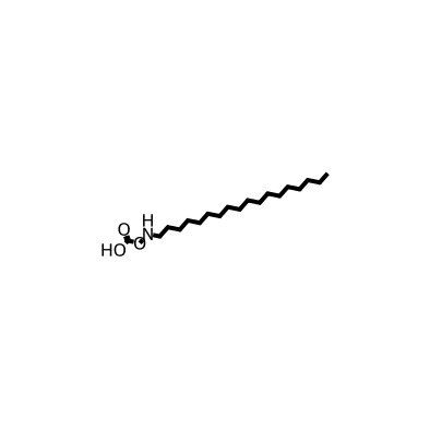 CCCCCCCCCCCCCCCCCCNOC(=O)O